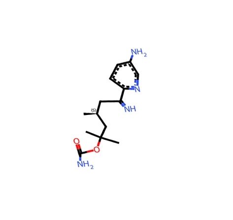 C[C@@H](CC(=N)c1ccc(N)cn1)CC(C)(C)OC(N)=O